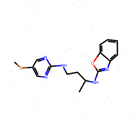 CSc1cnc(NCCC(C)Nc2nc3ccccc3o2)nc1